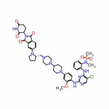 COc1cc(N2CCC(N3CCN(C[C@@H]4CCCN4c4ccc5c(c4)C(=O)N(C4CCC(=O)NC4=O)C5=O)CC3)CC2)ccc1Nc1ncc(Cl)c(Nc2ccccc2N(C)S(C)(=O)=O)n1